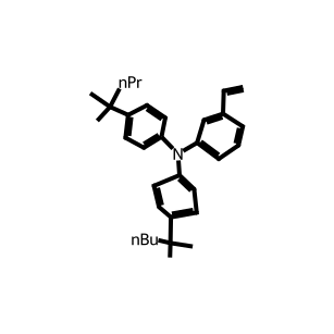 C=Cc1cccc(N(c2ccc(C(C)(C)CCC)cc2)c2ccc(C(C)(C)CCCC)cc2)c1